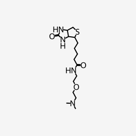 CN(C)CCOCCNC(=O)CCCCC1SCC2NC(=O)NC21